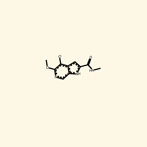 CNC(=O)c1cc2c(Cl)c(OC)ncc2[nH]1